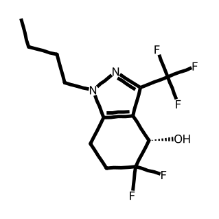 CCCCn1nc(C(F)(F)F)c2c1CCC(F)(F)[C@H]2O